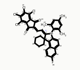 Cc1cc(C)c(N2/C(=C/C=C3C(=O)c4c(Cl)c(Cl)c(Cl)c(Cl)c4C3=O)C3(CCCCC3)c3c2ccc2cc(F)ccc32)c(C)c1